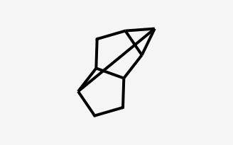 C1CC2C3CC4C(C13)C24